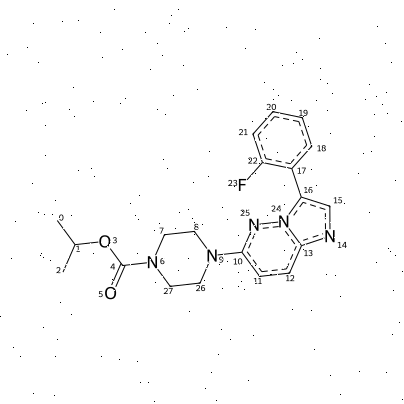 CC(C)OC(=O)N1CCN(c2ccc3ncc(-c4ccccc4F)n3n2)CC1